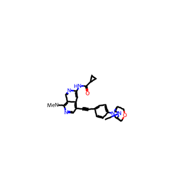 CNc1ncc(C#Cc2ccc(N3CC4CN(C)CC3CO4)cc2)c2cc(NC(=O)C3CC3)ncc12